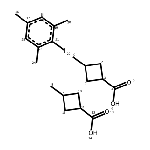 CC1CC(C(=O)O)C1.CC1CC(C(=O)O)C1.Cc1cc(C)c(I)c(C)c1